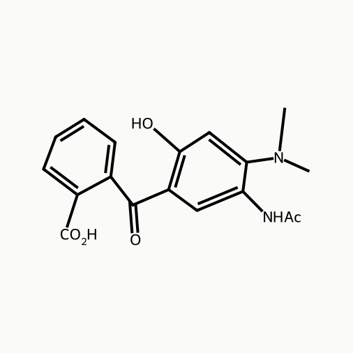 CC(=O)Nc1cc(C(=O)c2ccccc2C(=O)O)c(O)cc1N(C)C